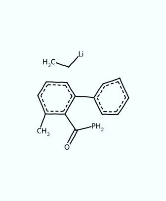 Cc1cccc(-c2ccccc2)c1C(=O)P.[Li][CH2]C